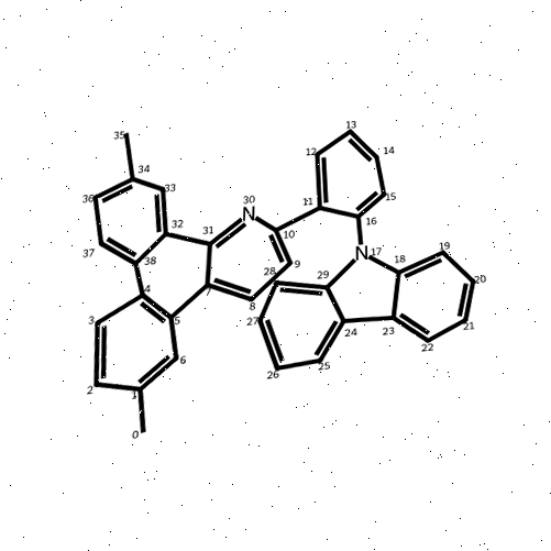 Cc1ccc2c(c1)c1ccc(-c3ccccc3-n3c4ccccc4c4ccccc43)nc1c1cc(C)ccc21